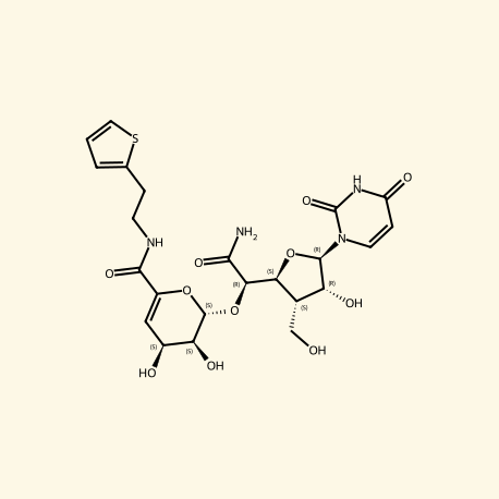 NC(=O)[C@H](O[C@H]1OC(C(=O)NCCc2cccs2)=C[C@H](O)[C@@H]1O)[C@H]1O[C@@H](n2ccc(=O)[nH]c2=O)[C@H](O)[C@@H]1CO